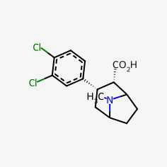 CN1C2CCC1[C@@H](C(=O)O)[C@@H](c1ccc(Cl)c(Cl)c1)C2